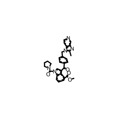 COC(=O)c1cccc2c1c(C(=O)c1ccc(Cn3c(C)nc4cnccc43)cc1)cn2C(=O)N1CCCC1